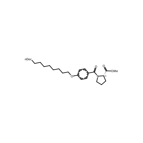 CCCCCCCCCCCCCCCCCCOc1ccc(C(=O)N2CCC[C@H]2C(=O)OC)cc1